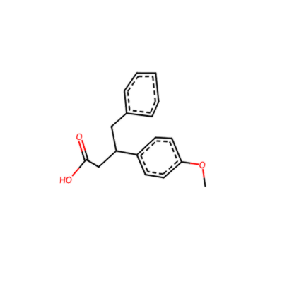 COc1ccc(C(CC(=O)O)Cc2ccccc2)cc1